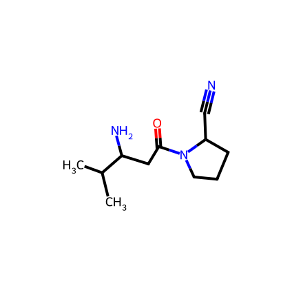 CC(C)C(N)CC(=O)N1CCCC1C#N